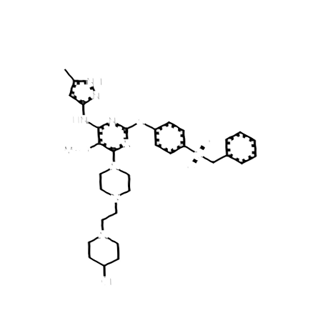 COc1c(Nc2cc(C)[nH]n2)nc(Sc2ccc(S(=O)(=O)Cc3ccccc3)cc2)nc1N1CCN(CCN2CCC(O)CC2)CC1